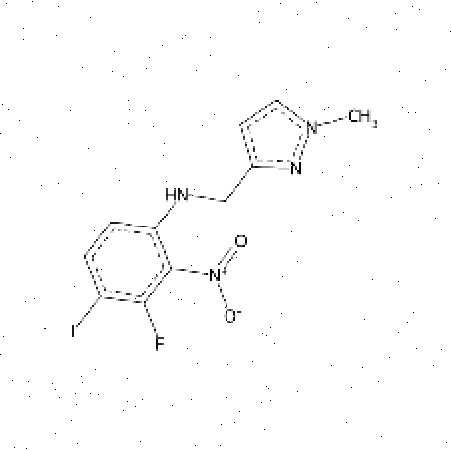 Cn1ccc(CNc2ccc(I)c(F)c2[N+](=O)[O-])n1